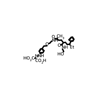 CCC(CCC(CCC(C)C(=O)NCCOCCc1ccc(NN=C(C(=O)O)C(=O)O)cc1)C(=O)NCCO)c1ccccc1